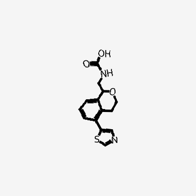 O=C(O)NCC1OCCc2c(-c3cncs3)cccc21